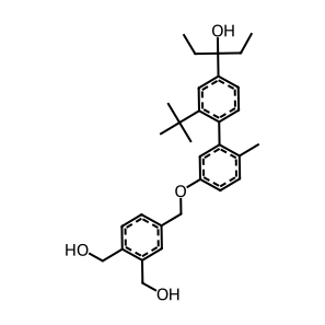 CCC(O)(CC)c1ccc(-c2cc(OCc3ccc(CO)c(CO)c3)ccc2C)c(C(C)(C)C)c1